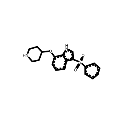 O=S(=O)(c1ccccc1)c1c[nH]c2c(OC3CCNCC3)cccc12